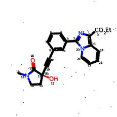 CCOC(=O)c1nc(-c2cccc(C#C[C@]3(O)CCN(C)C3=O)c2)n2ccccc12